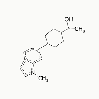 CC(O)C1CCC(c2ccc3ccn(C)c3c2)CC1